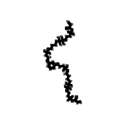 C=CC(=O)OC(C)(C)CCOC(C)(C)C(C)(C)CCCCOC(C)(C)CCOc1cccc(OCCC(C)(C)OCCCCC(C)(C)C(C)(C)OCCC(C)(C)OC(=O)C=C)c1